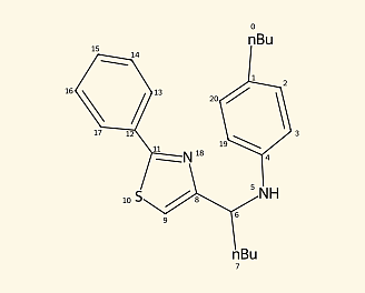 CCCCc1ccc(NC(CCCC)c2csc(-c3ccccc3)n2)cc1